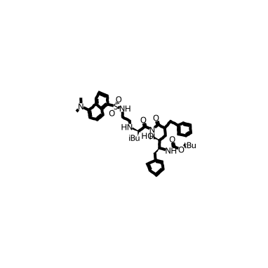 CC[C@H](C)[C@@H](NCCNS(=O)(=O)c1cccc2c(N(C)C)cccc12)C(=O)NC(=O)C(Cc1ccccc1)C[C@H](O)[C@H](Cc1ccccc1)NC(=O)OC(C)(C)C